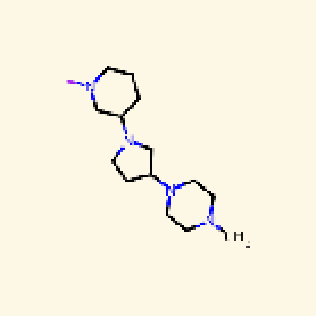 CN1CCN(C2CCN(C3CCCN(I)C3)C2)CC1